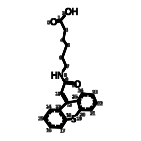 O=C(O)CCCCCNC(=O)C=C1c2ccccc2Sc2ccccc21